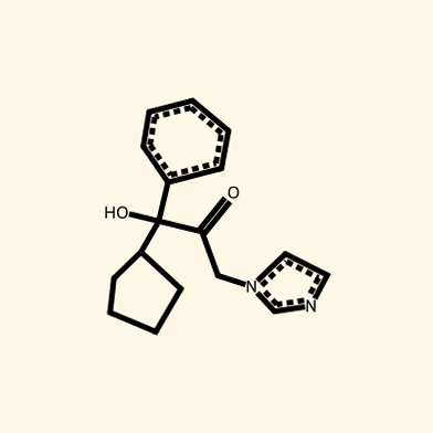 O=C(Cn1ccnc1)C(O)(c1ccccc1)C1CCCC1